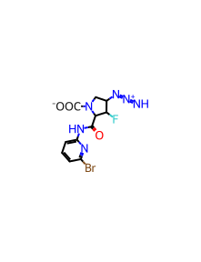 N=[N+]=NC1CN(C(=O)[O-])C(C(=O)Nc2cccc(Br)n2)C1F